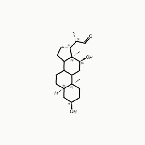 C[C@H](C=O)[C@H]1CCC2C3CC[C@@H]4C[C@H](O)CC[C@]4(C)C3C[C@H](O)[C@@]21C